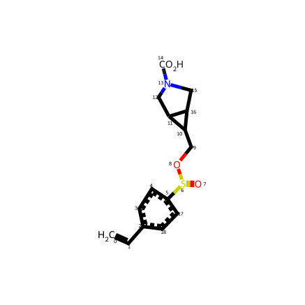 C=Cc1ccc(S(=O)OCC2C3CN(C(=O)O)CC23)cc1